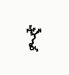 COC=CC=C(C#N)SC(F)(F)F